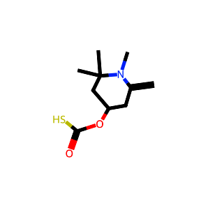 C=C1CC(OC(=O)S)CC(C)(C)N1C